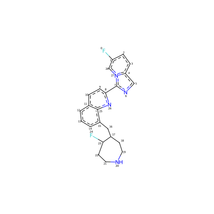 Fc1ccc2cnc(-c3ccc4cccc(CC5CCNCCC5F)c4n3)n2c1